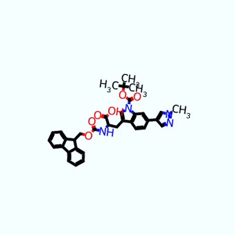 Cn1cc(-c2ccc3c(CC(NC(=O)OCC4c5ccccc5-c5ccccc54)C(=O)O)cn(C(=O)OC(C)(C)C)c3c2)cn1